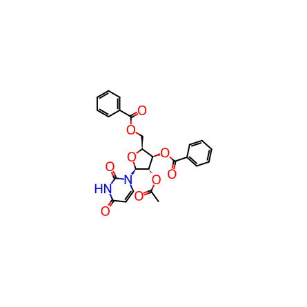 CC(=O)O[C@H]1[C@H](OC(=O)c2ccccc2)[C@H](COC(=O)c2ccccc2)O[C@@H]1n1ccc(=O)[nH]c1=O